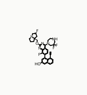 C#Cc1cccc2cc(O)cc(-c3ccc4c(N5CCNCC(F)(F)C5)nc(OC[C@@]56CCCN5C[C@H](F)C6)nc4c3F)c12